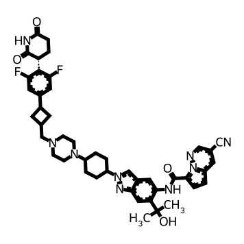 CC(C)(O)c1cc2nn(C3CCC(N4CCN(CC5CC(c6cc(F)c([C@H]7CCC(=O)NC7=O)c(F)c6)C5)CC4)CC3)cc2cc1NC(=O)c1ccc2cc(C#N)cnn12